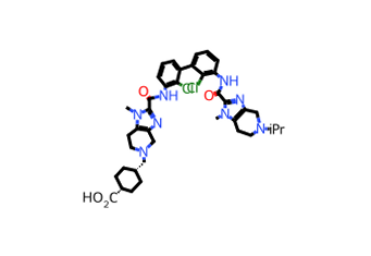 CC(C)N1CCc2c(nc(C(=O)Nc3cccc(-c4cccc(NC(=O)c5nc6c(n5C)CCN(C[C@H]5CC[C@@H](C(=O)O)CC5)C6)c4Cl)c3Cl)n2C)C1